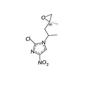 CC(C[C@]1(C)CO1)n1cc([N+](=O)[O-])nc1Cl